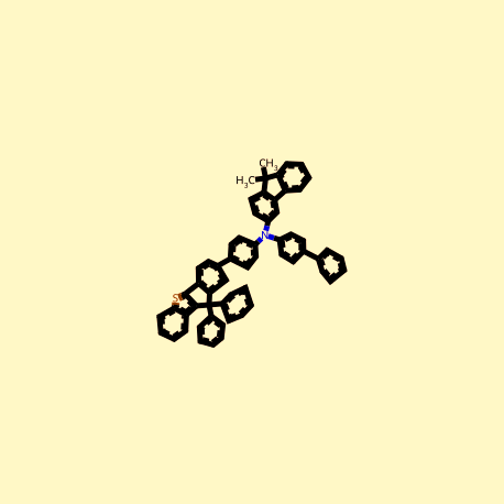 CC1(C)c2ccccc2-c2cc(N(c3ccc(-c4ccccc4)cc3)c3ccc(-c4ccc5c(c4)C(c4ccccc4)(c4ccccc4)c4c-5sc5ccccc45)cc3)ccc21